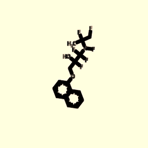 CC(F)(CF)N(F)C(F)(F)C(O)(F)COc1cccc2ccccc12